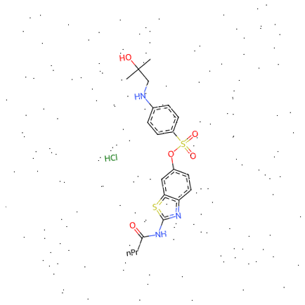 CCCC(=O)Nc1nc2ccc(OS(=O)(=O)c3ccc(NCC(C)(C)O)cc3)cc2s1.Cl